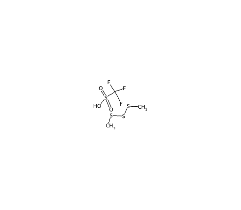 CSSSC.O=S(=O)(O)C(F)(F)F